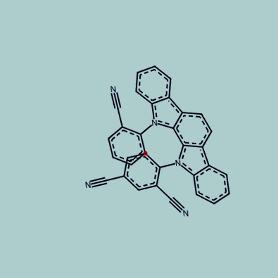 N#Cc1ccc(-n2c3ccccc3c3ccc4c5ccccc5n(-c5ccccc5C#N)c4c32)c(C#N)c1